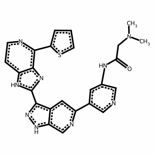 CN(C)CC(=O)Nc1cncc(-c2cc3c(-c4nc5c(-c6cccs6)nccc5[nH]4)n[nH]c3cn2)c1